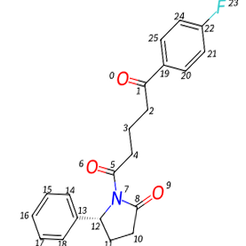 O=C(CCCC(=O)N1C(=O)CC[C@@H]1c1ccccc1)c1ccc(F)cc1